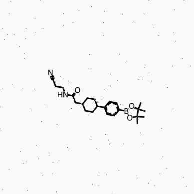 CC1(C)OB(c2ccc(C3CCC(CC(=O)NCCC#N)CC3)cc2)OC1(C)C